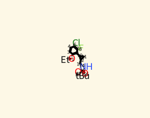 CCOc1ccc(Cl)c(F)c1C1CC1CNC(=O)OC(C)(C)C